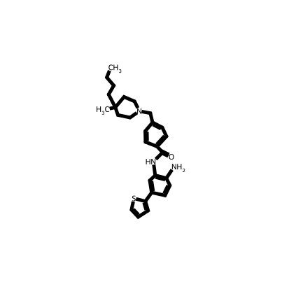 CCCCC1(C)CCN(Cc2ccc(C(=O)Nc3cc(-c4cccs4)ccc3N)cc2)CC1